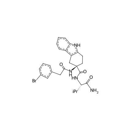 CC(C)[C@H](NC(=O)[C@@]1(NC(=O)Cc2cccc(Br)c2)CCc2[nH]c3ccccc3c2C1)C(N)=O